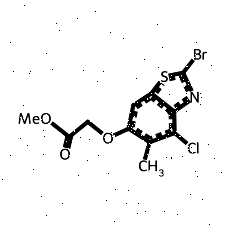 COC(=O)COc1cc2sc(Br)nc2c(Cl)c1C